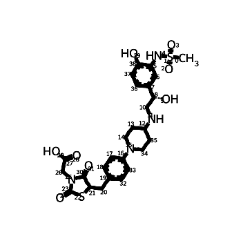 CS(=O)(=O)Nc1cc([C@H](O)CNC2CCN(c3ccc(CC4SC(=O)N(CC(=O)O)C4=O)cc3)CC2)ccc1O